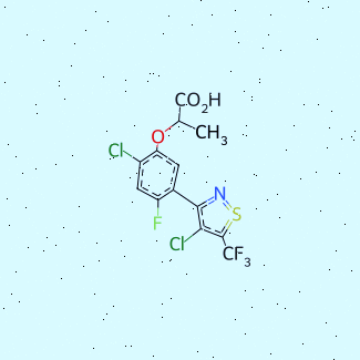 CC(Oc1cc(-c2nsc(C(F)(F)F)c2Cl)c(F)cc1Cl)C(=O)O